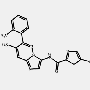 Cc1cnc(C(=O)Nc2cnc3cc(C)c(-c4ccccc4C(F)(F)F)nn23)s1